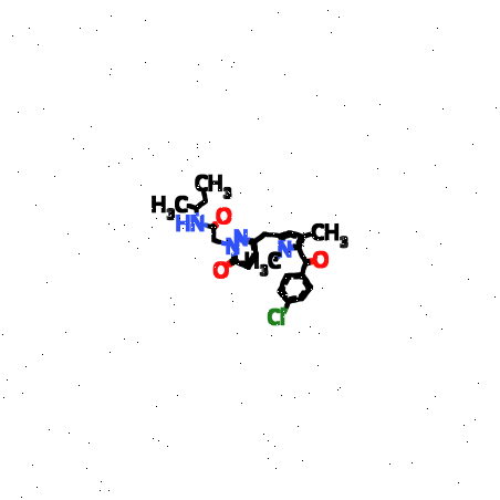 CCC(C)NC(=O)Cn1nc(Cc2cc(C)c(C(=O)c3ccc(Cl)cc3)n2C)ccc1=O